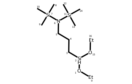 CCO[SiH](CCCN([Si](C)(C)C)[Si](C)(C)C)OCC